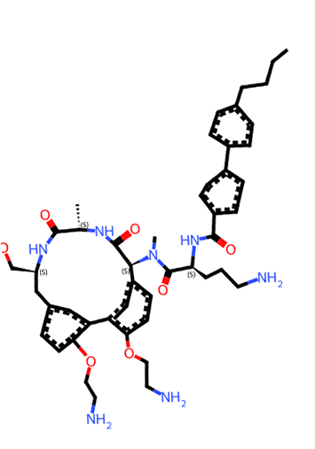 CCCCc1ccc(-c2ccc(C(=O)N[C@@H](CCCN)C(=O)N(C)[C@@H]3C(=O)N[C@@H](C)C(=O)N[C@H](CO)Cc4ccc(OCCN)c(c4)-c4cc3ccc4OCCN)cc2)cc1